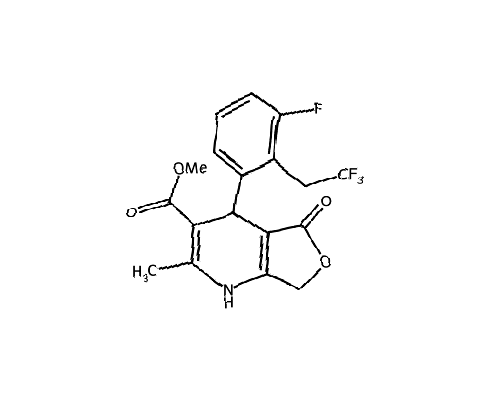 COC(=O)C1=C(C)NC2=C(C(=O)OC2)C1c1cccc(F)c1CC(F)(F)F